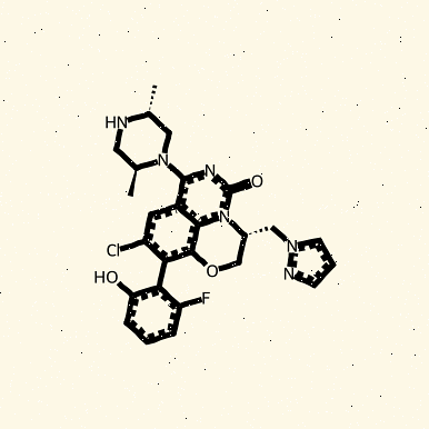 C[C@@H]1CN(c2nc(=O)n3c4c(c(-c5c(O)cccc5F)c(Cl)cc24)OC[C@H]3Cn2cccn2)[C@@H](C)CN1